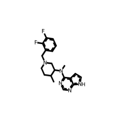 CC1CCN(Cc2cccc(F)c2F)CC1N(C)c1ncnc2[nH]ccc12